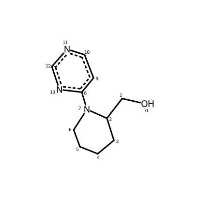 OCC1CCCCN1c1ccn[c]n1